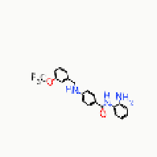 Nc1ccccc1NC(=O)c1ccc(NCc2cccc(OC(F)(F)F)c2)cc1